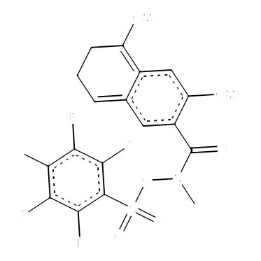 COC1=c2cc(OC)c(C(=O)N(C)OS(=O)(=O)c3c(F)c(F)c(F)c(F)c3F)cc2=CCC1